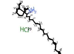 CCCCCCCCCCCCCCCCCC(N)C1(CC)CCCCC1CC.Cl